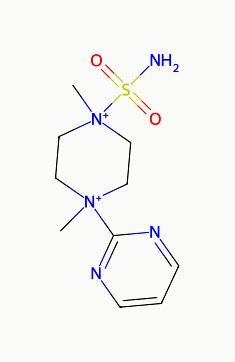 C[N+]1(c2ncccn2)CC[N+](C)(S(N)(=O)=O)CC1